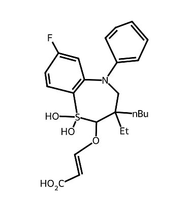 CCCCC1(CC)CN(c2ccccc2)c2cc(F)ccc2S(O)(O)C1O/C=C/C(=O)O